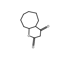 O=C1CC(=O)C2CCCCCCC2O1